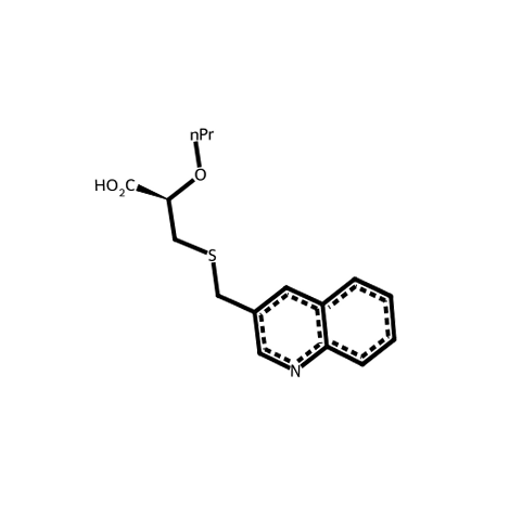 CCCO[C@@H](CSCc1cnc2ccccc2c1)C(=O)O